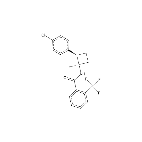 C[C@@]1(NC(=O)c2ccccc2C(F)(F)F)CC[C@@H]1c1ccc(Cl)cc1